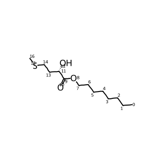 CCCCCCCCOC(=O)[C@@H](O)CCSC